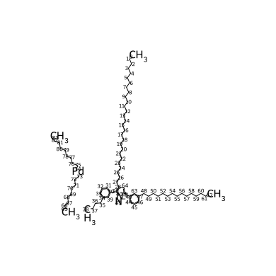 CCCCCCCCCCCCCCCCCCCCCCCCCCCCC1=C(c2cccc(CCCC)c2)[N+](=[N-])C(c2cccc(CCCCCCCCCCCCCCC)c2)=C1.CCCCCCCC[CH2][Pd][CH2]CCCCCCCC